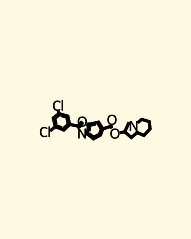 O=C(OC1CC2CCCCN2C1)c1ccc2nc(-c3cc(Cl)cc(Cl)c3)oc2c1